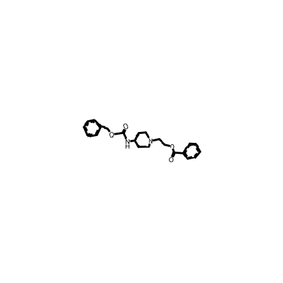 O=C(NC1CCN(CCOC(=O)c2ccccc2)CC1)OCc1ccccc1